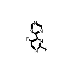 Fc1ncc(F)c(-c2ncncn2)n1